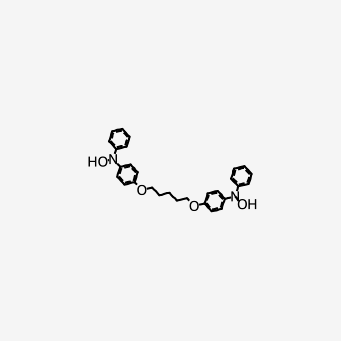 ON(c1ccccc1)c1ccc(OCCCCCOc2ccc(N(O)c3ccccc3)cc2)cc1